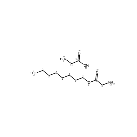 CCCCCCCCOC(=O)CN.NCC(=O)O